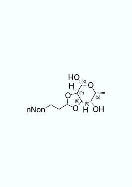 CCCCCCCCCCCC1O[C@@H]2[C@@H](O)[C@H](C)O[C@@H](O)[C@@H]2O1